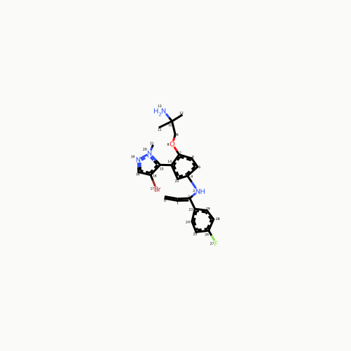 C=C=C(Nc1ccc(OCC(C)(C)N)c(-c2c(Br)cnn2C)c1)c1ccc(F)cc1